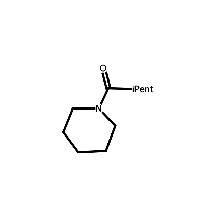 CCCC(C)C(=O)N1CCCCC1